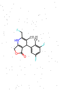 O=C(O)C1=C(CF)NC2=C(C(=O)OC2)C1c1cc(F)cc(F)c1C(F)(F)F